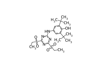 CCS(=O)(=O)c1nc(Nc2cc(C(C)(C)C)c(O)c(C(C)(C)C)c2)nc(S(=O)(=O)CC)n1